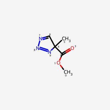 COC(=O)C1(C)C=NN=N1